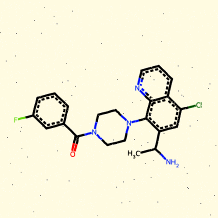 CC(N)c1cc(Cl)c2cccnc2c1N1CCN(C(=O)c2cccc(F)c2)CC1